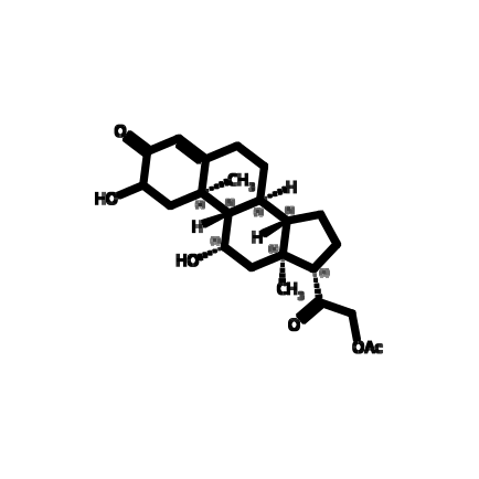 CC(=O)OCC(=O)[C@H]1CC[C@H]2[C@@H]3CCC4=CC(=O)C(O)C[C@]4(C)[C@H]3[C@@H](O)C[C@]12C